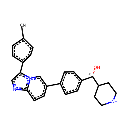 N#Cc1ccc(-c2cnc3ccc(-c4ccc([C@H](O)C5CCNCC5)cc4)cn23)cc1